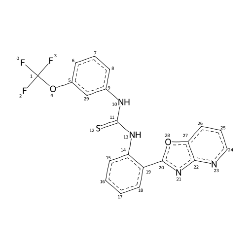 FC(F)(F)Oc1cccc(NC(=S)Nc2ccccc2-c2nc3ncccc3o2)c1